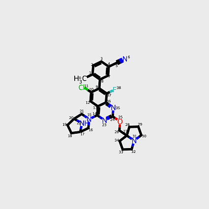 Cc1ccc(C#N)cc1-c1c(Cl)cc2c(N3CC4CCC(C3)N4)nc(OCC34CCCN3CCC4)nc2c1F